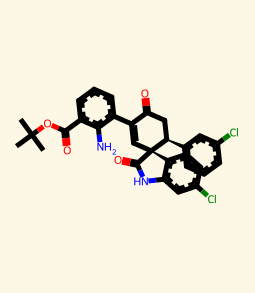 CC(C)(C)OC(=O)c1cccc(C2=C[C@@]3(C(=O)Nc4cc(Cl)ccc43)[C@H](c3cccc(Cl)c3)CC2=O)c1N